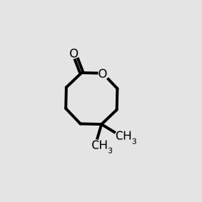 CC1(C)CCCC(=O)OCC1